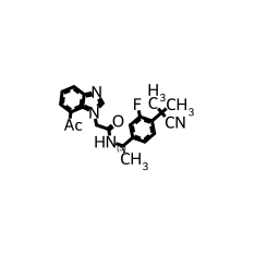 CC(=O)c1cccc2ncn(CC(=O)N[C@@H](C)c3ccc(C(C)(C)C#N)c(F)c3)c12